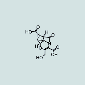 O=C(O)C1=C(CO)O[C@@H]2CN(C(=O)O)[C@@H]3C(=O)N1[C@@H]32